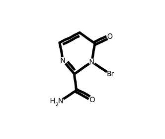 NC(=O)c1nccc(=O)n1Br